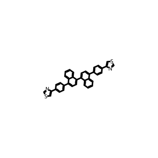 c1ccc2c(-c3ccc(-c4ccc(-c5cscn5)cc4)c4ccccc34)ccc(-c3ccc(-c4cscn4)cc3)c2c1